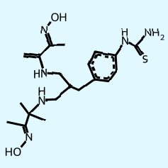 C=C(NCC(CNC(C)(C)/C(C)=N/O)Cc1ccc(NC(N)=S)cc1)/C(C)=N/O